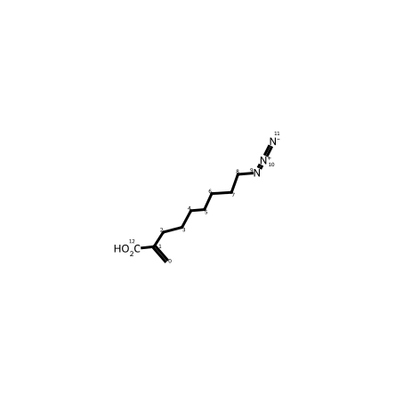 C=C(CCCCCCCN=[N+]=[N-])C(=O)O